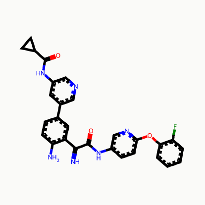 N=C(C(=O)Nc1ccc(Oc2ccccc2F)nc1)c1cc(-c2cncc(NC(=O)C3CC3)c2)ccc1N